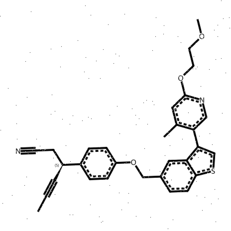 CC#C[C@@H](CC#N)c1ccc(OCc2ccc3scc(-c4cnc(OCCOC)cc4C)c3c2)cc1